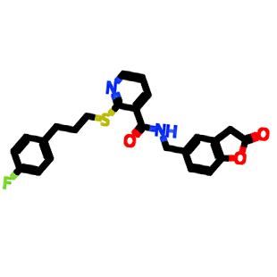 O=C1Cc2cc(CNC(=O)c3cccnc3SCCCc3ccc(F)cc3)ccc2O1